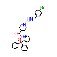 O=C(NOC(c1ccccc1)(c1ccccc1)c1ccccc1)C1CCN(CCNCc2ccc(Br)cc2)CC1